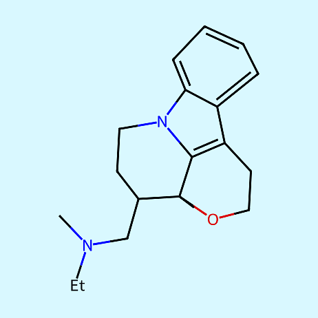 CCN(C)CC1CCn2c3c(c4ccccc42)CCOC31C